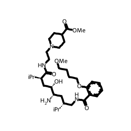 COCCCCOc1ccccc1C(=O)NC[C@@H](C[C@H](N)[C@@H](O)C[C@H](C(=O)NCCN1CCC(C(=O)OC)CC1)C(C)C)C(C)C